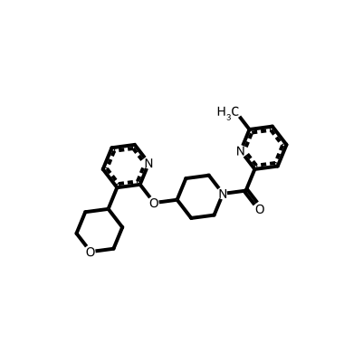 Cc1cccc(C(=O)N2CCC(Oc3ncccc3C3CCOCC3)CC2)n1